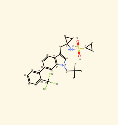 CC(C)(C)Cn1cc(CC2(NS(=O)(=O)C3CC3)CC2)c2ccc(-c3ccccc3C(F)(F)F)cc21